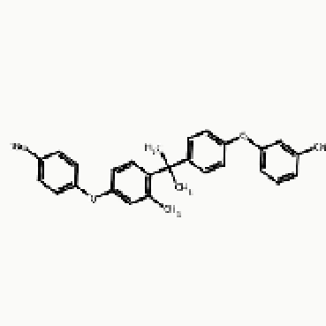 Cc1cc(Oc2ccc(C(C)(C)C)cc2)ccc1C(C)(C)c1ccc(Oc2cccc(C#N)c2)cc1